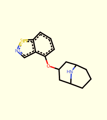 c1cc(OC2CC3CCCC(C2)N3)c2cnsc2c1